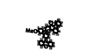 COc1ccc(C2(c3ccc(N4c5ccccc5Oc5ccccc54)cc3)C=Cc3c(C)c4c5c(cccc5c3O2)-c2ccccc2-4)cc1